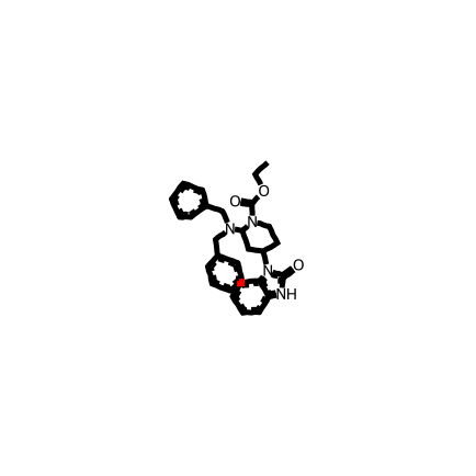 CCOC(=O)N1CCC(n2c(=O)[nH]c3ccccc32)CC1N(Cc1ccccc1)Cc1ccccc1